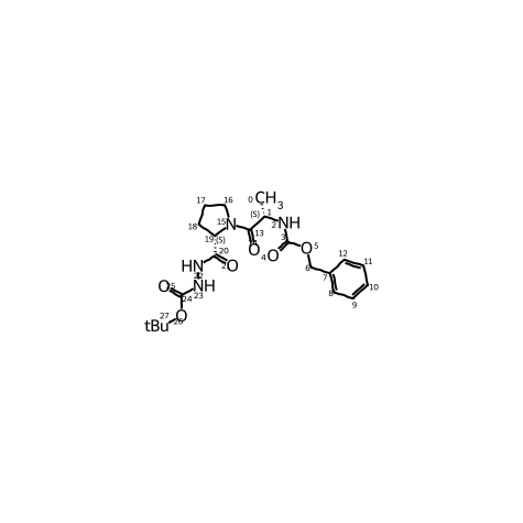 C[C@H](NC(=O)OCc1ccccc1)C(=O)N1CCC[C@H]1C(=O)NNC(=O)OC(C)(C)C